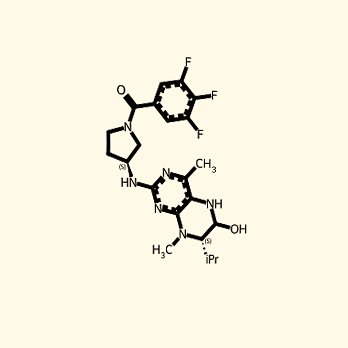 Cc1nc(N[C@H]2CCN(C(=O)c3cc(F)c(F)c(F)c3)C2)nc2c1NC(O)[C@H](C(C)C)N2C